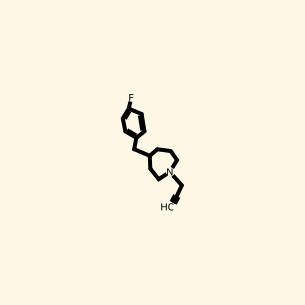 C#CCN1CCCC(Cc2ccc(F)cc2)CC1